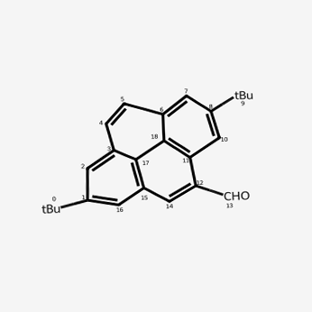 CC(C)(C)c1cc2ccc3cc(C(C)(C)C)cc4c(C=O)cc(c1)c2c34